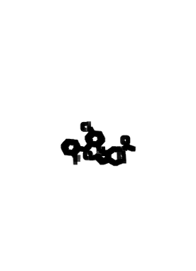 CCc1cc(C)n(-c2ccc(Cl)cc2C(=O)c2ccccc2F)c1CNC(C)=O